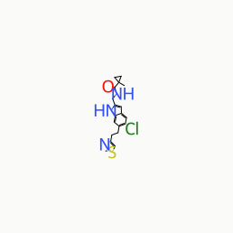 CC1(C(=O)NCc2cc3cc(Cl)c(CCc4cscn4)cc3[nH]2)CC1